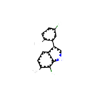 N#Cc1ccc2c(-c3cc(Cl)ccc3C(F)(F)F)c[nH]c2c1Br